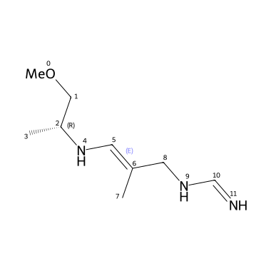 COC[C@@H](C)N/C=C(\C)CNC=N